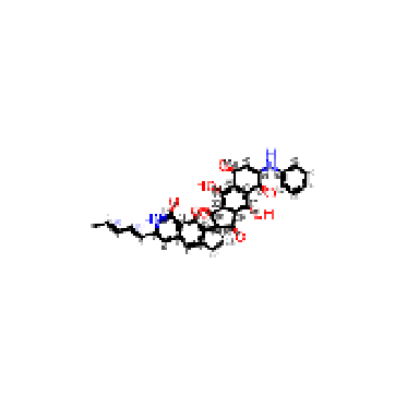 C/C=C/C=C/c1cc2cc3c(c(O)c2c(=O)[nH]1)[C@@]1(CC3)C(=O)c2c(O)c3c(c(O)c2C1=O)C(=O)C(Nc1ccccc1)=CC3=O